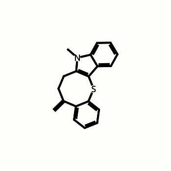 C=C1CCc2c(c3ccccc3n2C)Sc2ccccc21